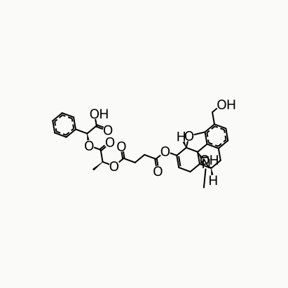 C[C@H](OC(=O)CCC(=O)OC1=CC[C@@]2(O)[C@H]3Cc4ccc(CO)c5c4[C@@]2(CCN3C)[C@H]1O5)C(=O)O[C@H](C(=O)O)c1ccccc1